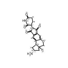 N[C@H]1C[C@H]2COc3cc4c(cc3N2C1)C(=O)N(C1CCC(=O)NC1=O)C4=O